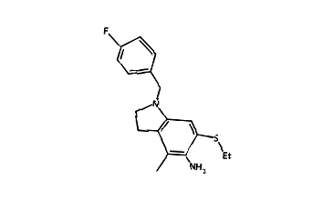 CCSc1cc2c(c(C)c1N)CCN2Cc1ccc(F)cc1